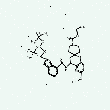 CCOC(=O)N1CCC2(CC1)CC(NC(=O)c1cccc3cn(COP(OC(C)(C)C)OC(C)(C)C)nc13)c1nc(OC)ccc1O2